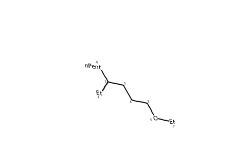 CCCCCC(CC)CCCOCC